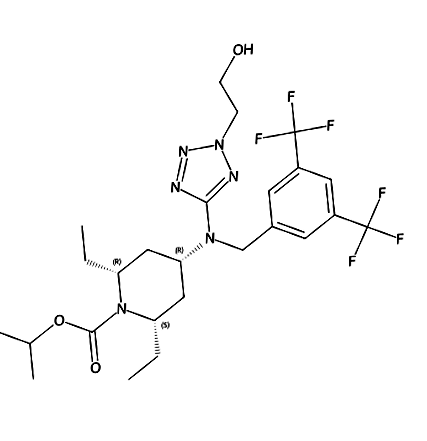 CC[C@@H]1C[C@H](N(Cc2cc(C(F)(F)F)cc(C(F)(F)F)c2)c2nnn(CCO)n2)C[C@H](CC)N1C(=O)OC(C)C